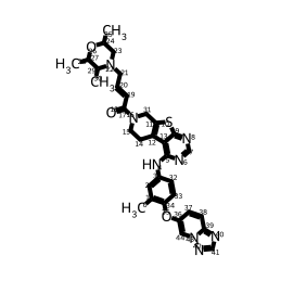 Cc1cc(Nc2ncnc3sc4c(c23)CCN(C(=O)/C=C/CN2CC(C)OC(C)C2C)C4)ccc1Oc1ccc2ncnn2c1